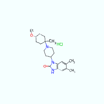 CCOC1CCC(C)(N2CCC(n3c(=O)[nH]c4cc(C)c(C)cc43)CC2)CC1.Cl